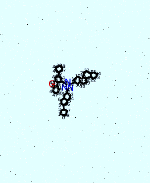 c1ccc(-c2ccc3cc(-c4nc(-c5ccc6c(ccc7c8ccccc8ccc67)c5)nc(-c5cc(-c6ccccc6)cc6oc7ccccc7c56)n4)ccc3c2)cc1